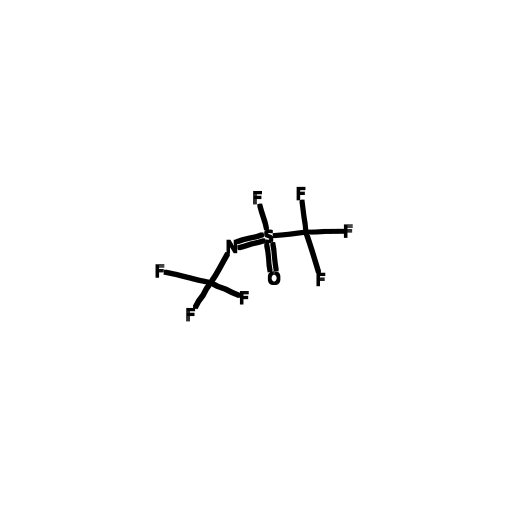 O=S(F)(=NC(F)(F)F)C(F)(F)F